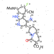 CNc1cc(F)c(C#N)c2c1[nH]c1ncc(-c3ccc4ccc(C(=O)O)c(=O)n4c3)c(N(C)C)c12